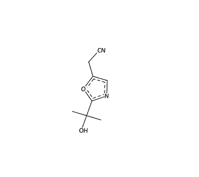 CC(C)(O)c1ncc(CC#N)o1